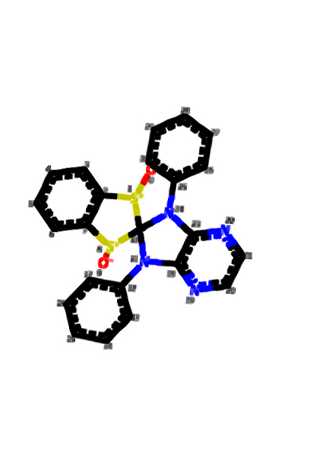 [O-][S+]1c2ccccc2[S+]([O-])C12N(c1ccccc1)c1nccnc1N2c1ccccc1